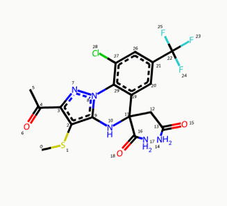 CSc1c(C(C)=O)nn2c1NC(CC(N)=O)(C(N)=O)c1cc(C(F)(F)F)cc(Cl)c1-2